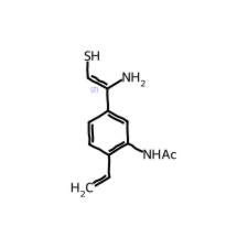 C=Cc1ccc(/C(N)=C/S)cc1NC(C)=O